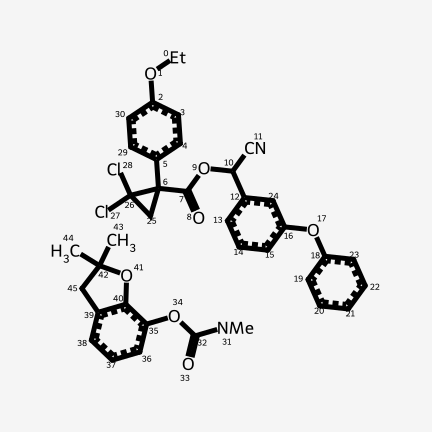 CCOc1ccc(C2(C(=O)OC(C#N)c3cccc(Oc4ccccc4)c3)CC2(Cl)Cl)cc1.CNC(=O)Oc1cccc2c1OC(C)(C)C2